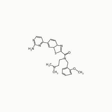 COc1ccccc1CN(CCN(C)C)C(=O)C1=NC2C=CC(c3ccnc(N)n3)=CC2S1